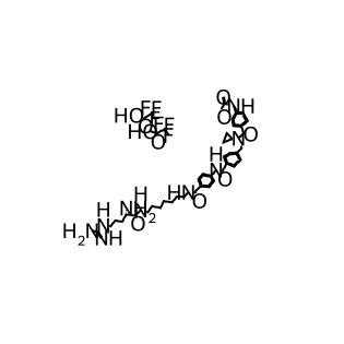 N=C(N)NCCC[C@H](N)C(=O)NCCCCCCCNC(=O)c1ccc(NC(=O)c2ccc(CN(C(=O)c3ccc4c(c3)OCC(=O)N4)C3CC3)cc2)cc1.O=C(O)C(F)(F)F.O=C(O)C(F)(F)F